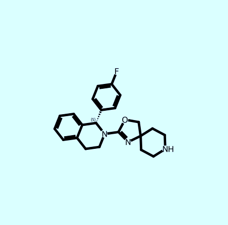 Fc1ccc([C@H]2c3ccccc3CCN2C2=NC3(CCNCC3)CO2)cc1